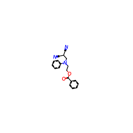 N#CC(C#N)CN(CCOC(=O)c1ccccc1)c1ccccc1